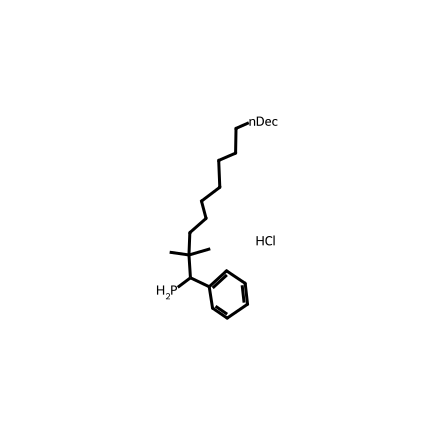 CCCCCCCCCCCCCCCCCC(C)(C)C(P)c1ccccc1.Cl